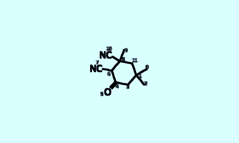 CC1(C)CC(=O)C(C#N)C(C)(C#N)C1